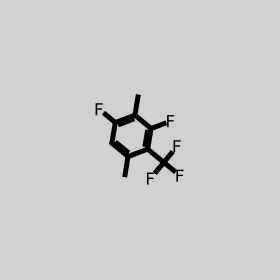 Cc1cc(F)c(C)c(F)c1C(F)(F)F